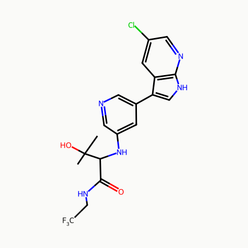 CC(C)(O)C(Nc1cncc(-c2c[nH]c3ncc(Cl)cc23)c1)C(=O)NCC(F)(F)F